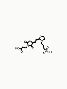 O=C(O)CCN1C(=O)C(=CC=C2SCCN2CCCS(=O)(=O)O)SC1=S